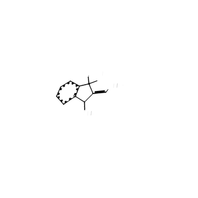 CC1C(=CC=O)C(C)(C)c2ccccc21